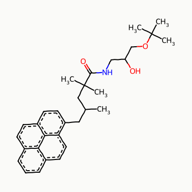 CC(Cc1ccc2ccc3cccc4ccc1c2c34)CC(C)(C)C(=O)NCC(O)COC(C)(C)C